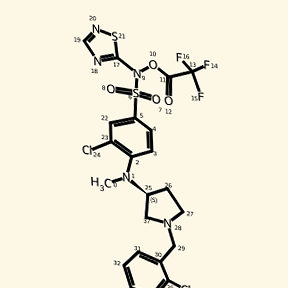 CN(c1ccc(S(=O)(=O)N(OC(=O)C(F)(F)F)c2ncns2)cc1Cl)[C@H]1CCN(Cc2ccccc2Cl)C1